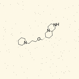 C1CCN(CCCOC[C@H]2CCC3CNCCN3C2)CC1